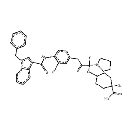 CC1(C(=O)O)CCC(OC(F)(C(=O)Cc2ccc(NC(=O)c3cn(Cc4ccccc4)c4ccccc34)c(Cl)c2)N2CCCC2)CC1